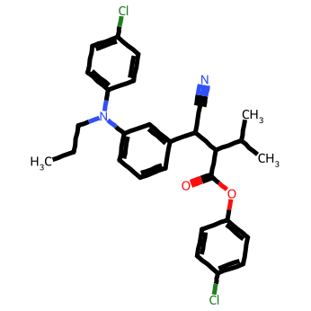 CCCN(c1ccc(Cl)cc1)c1cccc(C(C#N)C(C(=O)Oc2ccc(Cl)cc2)C(C)C)c1